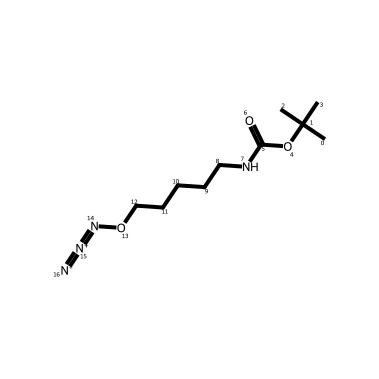 CC(C)(C)OC(=O)NCCCCCON=[N+]=[N-]